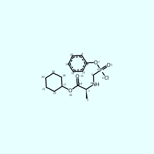 C[C@H](NCP(=O)(Cl)Oc1ccccc1)C(=O)OC1CCCCC1